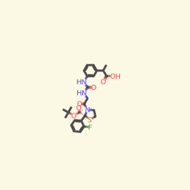 CC(C(=O)O)c1cccc(NC(=O)NCC(=O)N2CCS[C@@]2(C(=O)OC(C)(C)C)c2ccccc2F)c1